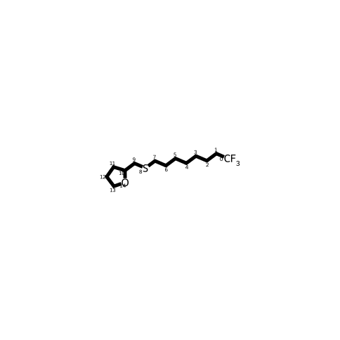 FC(F)(F)CCCCCCCSCC1CCCO1